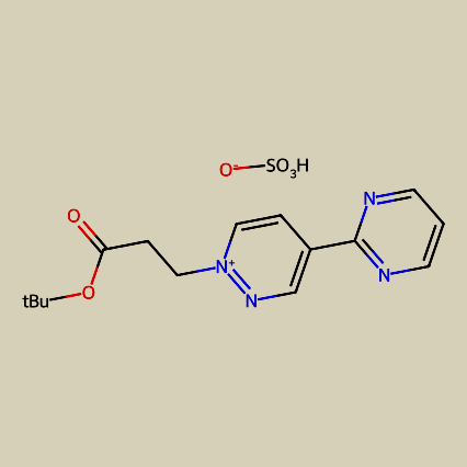 CC(C)(C)OC(=O)CC[n+]1ccc(-c2ncccn2)cn1.O=S(=O)([O-])O